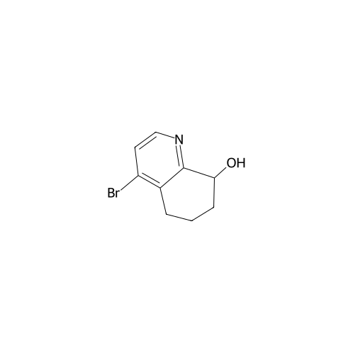 OC1CCCc2c(Br)ccnc21